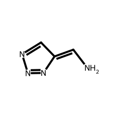 NC=C1C=NN=N1